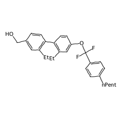 CCCCCc1ccc(C(F)(F)Oc2ccc(-c3ccc(CO)cc3CC)c(CC)c2)cc1